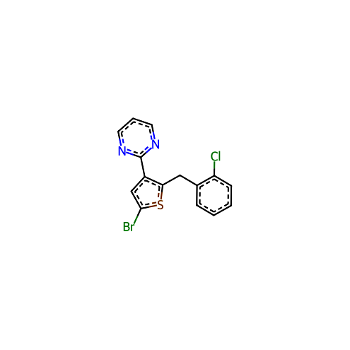 Clc1ccccc1Cc1sc(Br)cc1-c1ncccn1